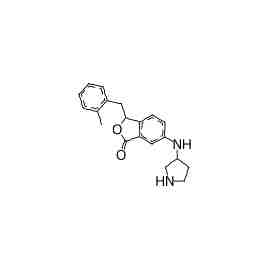 Cc1ccccc1CC1OC(=O)c2cc(NC3CCNC3)ccc21